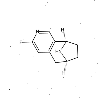 Fc1cc2c(cn1)[C@H]1CC[C@@H](C2)N1